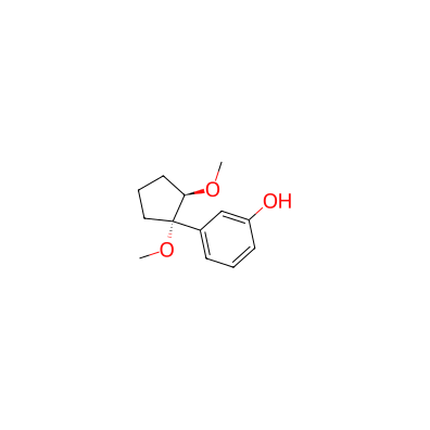 CO[C@@H]1CCC[C@]1(OC)c1cccc(O)c1